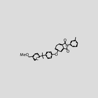 COCc1ccc(C(C)(C)c2ccc(OC3=CCC=C4C(=O)N(c5cccc(C)c5)C(=O)C4=C3)cc2)cc1